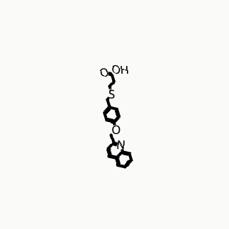 O=C(O)CCSCc1ccc(OCc2ccc3ccccc3n2)cc1